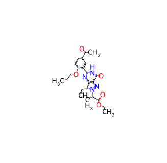 CCCOc1ccc(C(C)=O)cc1-c1nc2c(CC)n(C(C)C(=O)OCC)nc2c(=O)[nH]1